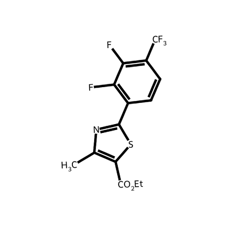 CCOC(=O)c1sc(-c2ccc(C(F)(F)F)c(F)c2F)nc1C